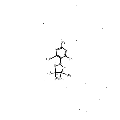 Cc1cc(P)cc(C)c1B1OC(C)(C)C(C)(C)O1